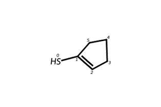 SC1=CCCC1